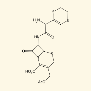 CC(=O)OCC1=C(C(=O)O)N2C(=O)C(NC(=O)C(N)C3=CSCCS3)C2SC1